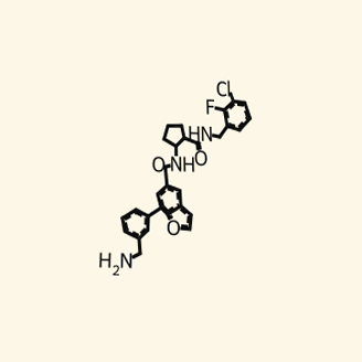 NCc1cccc(-c2cc(C(=O)NC3CCCC3C(=O)NCc3cccc(Cl)c3F)cc3ccoc23)c1